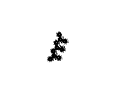 c1ccc(-c2cc(-c3cccc(-c4cc(-c5cccc(-c6cc(-c7ccccc7)nc(-c7ccccc7)n6)c5)cc(-c5cccnn5)c4)c3)nc(-c3ccccc3)n2)cc1